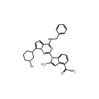 CCN1CCCC(c2ccc3c(NCc4ccccc4)nc(-n4c(C)cc5c(C(N)=O)cccc54)nn23)C1